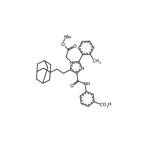 Cc1ccccc1-c1nc(C(=O)Nc2cccc(C(=O)O)c2)c(CCC23CC4CC(CC(C4)C2)C3)n1CC(=O)OC(C)(C)C